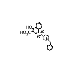 O=C(O)c1cc(S(=O)(=O)N2CCN(Cc3ccccc3)CC2)c2ccccc2c1O